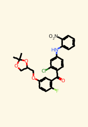 CC1(C)OCC(COc2ccc(F)c(C(=O)c3ccc(Nc4ccccc4[N+](=O)[O-])cc3Cl)c2)O1